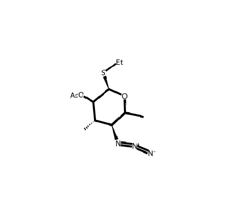 CCS[C@H]1OC(C)[C@@H](N=[N+]=[N-])[C@H](C)C1OC(C)=O